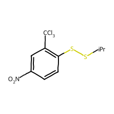 CC(C)SSc1ccc([N+](=O)[O-])cc1C(Cl)(Cl)Cl